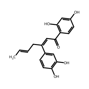 CC=CCC(=CC(=O)c1ccc(O)cc1O)c1ccc(O)c(O)c1